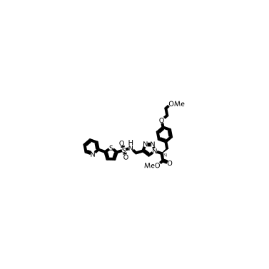 COCCOc1ccc(C[C@@H](C(=O)OC)n2cc(CNS(=O)(=O)c3ccc(-c4ccccn4)s3)nn2)cc1